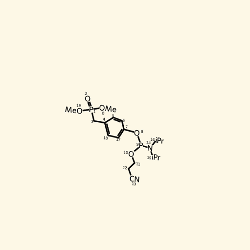 COP(=O)(Cc1ccc(OP(OCCC#N)N(C(C)C)C(C)C)cc1)OC